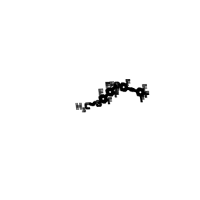 CCCCOc1cc(F)c(-c2cc(F)c(C(F)(F)Oc3ccc(C#Cc4cc(F)c(F)c(F)c4)c(F)c3)c(F)c2)c(F)c1